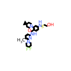 Cc1ccc(NC(=O)c2ccc(NSCCO)cc2N2CCC3(CC2)CC3)nc1N1CCC(F)(F)CC1